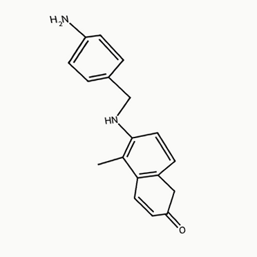 Cc1c(NCc2ccc(N)cc2)ccc2c1C=CC(=O)C2